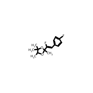 CC1OC(C)(C(F)=Cc2ccc(F)cc2)OC1(C)C